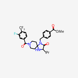 COC(=O)c1ccc(CN2C(=O)C(C(C)C)NC23CCN(C(=O)c2ccc(C(F)(F)F)c(F)c2)CC3)cc1